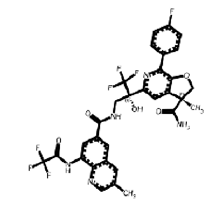 Cc1cnc2c(NC(=O)C(F)(F)F)cc(C(=O)NC[C@](O)(c3cc4c(c(-c5ccc(F)cc5)n3)OC[C@]4(C)C(N)=O)C(F)(F)F)cc2c1